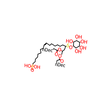 CCCCCCCCCCCC(=O)OCC(CC(CCCCCC/C=C\CCCCCCCCP(=O)(O)O)SO[C@@H]1[C@@H](O)[C@H](O)[C@@H](O)[C@H](O)[C@@H]1O)OC(=O)CCCCCCCCCCC